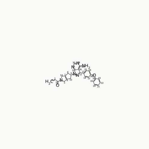 C=CC(=O)N1CC2=C(CC(n3nc(-c4ccc(Oc5ccccc5)cc4)c4c(N)ncnc43)C2)C1